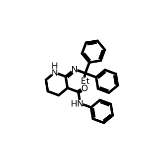 CCC(/N=C1/NCCCC1C(=O)Nc1ccccc1)(c1ccccc1)c1ccccc1